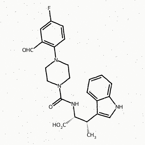 C[C@@H](c1c[nH]c2ccccc12)[C@@H](NC(=O)N1CCN(c2ccc(F)cc2C=O)CC1)C(=O)O